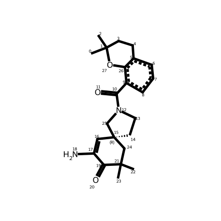 CC1(C)CCc2cccc(C(=O)N3CC[C@]4(C=C(N)C(=O)C(C)(C)C4)C3)c2O1